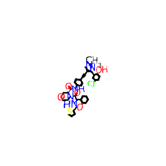 Cn1cc(C#Cc2ccc(NC(=O)[C@@H]3COCCN3C(=O)[C@H](NC(=O)c3cccs3)c3ccccc3)cc2)c(-c2cc(Cl)ccc2O)n1